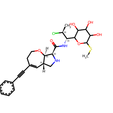 CSC1OC([C@H](NC(=O)[C@H]2NC[C@@H]3C=C(C#Cc4ccccc4)CCO[C@@H]23)[C@H](C)Cl)C(O)C(O)C1O